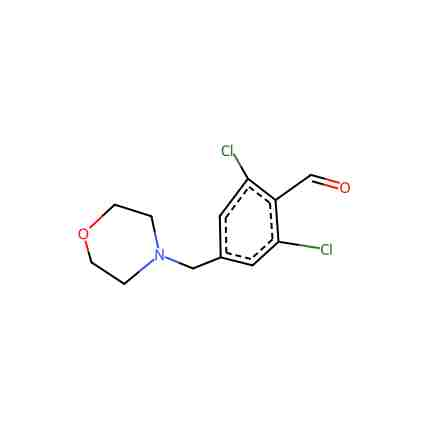 O=Cc1c(Cl)cc(CN2CCOCC2)cc1Cl